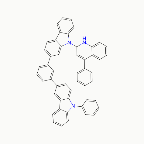 C1=C(c2ccccc2)c2ccccc2NC1n1c2ccccc2c2ccc(-c3cccc(-c4ccc5c(c4)c4ccccc4n5-c4ccccc4)c3)cc21